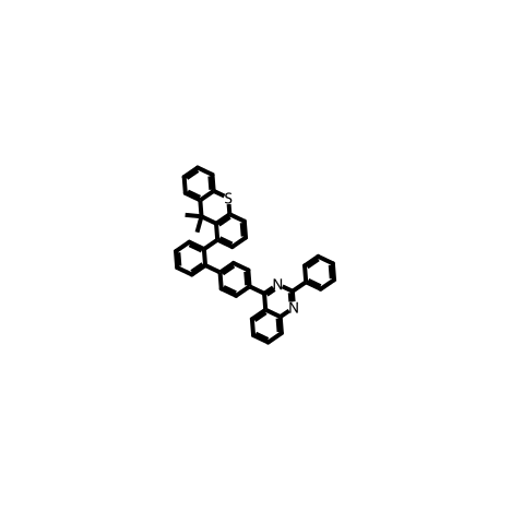 CC1(C)c2ccccc2Sc2cccc(-c3ccccc3-c3ccc(-c4nc(-c5ccccc5)nc5ccccc45)cc3)c21